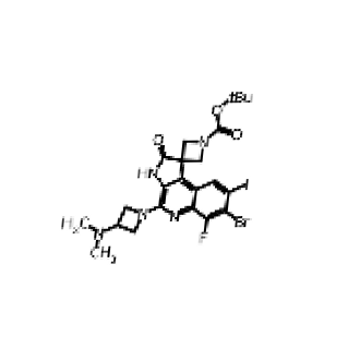 CN(C)C1CN(c2nc3c(F)c(Br)c(I)cc3c3c2NC(=O)C32CN(C(=O)OC(C)(C)C)C2)C1